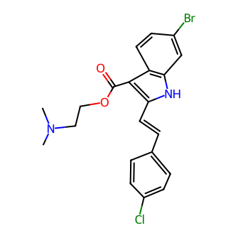 CN(C)CCOC(=O)c1c(C=Cc2ccc(Cl)cc2)[nH]c2cc(Br)ccc12